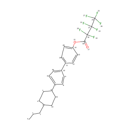 CCCC1CCC(c2ccc(-c3ccc(OC(=O)C(F)(F)C(F)(F)C(F)(F)F)cc3)cc2)CC1